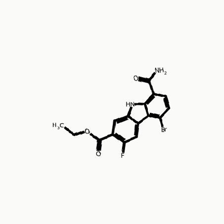 CCOC(=O)c1cc2[nH]c3c(C(N)=O)ccc(Br)c3c2cc1F